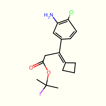 CC(C)(I)OC(=O)CC(=C1CCC1)c1ccc(Cl)c(N)c1